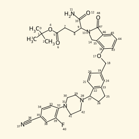 CC(C)(C)OC(=O)CCC(C(N)=O)N1Cc2c(OCc3ccc4c(c3)CCC4N3CCN(c4ccc(C#N)cc4F)CC3)cccc2C1=O